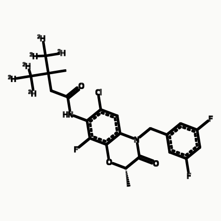 [2H]C([2H])([2H])C(C)(CC(=O)Nc1c(Cl)cc2c(c1F)O[C@@H](C)C(=O)N2Cc1cc(F)cc(F)c1)C([2H])([2H])[2H]